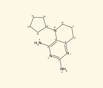 Nc1nc(N)c2c(n1)CCCN2C1CCCC1